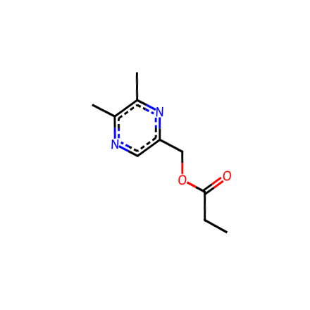 CCC(=O)OCc1cnc(C)c(C)n1